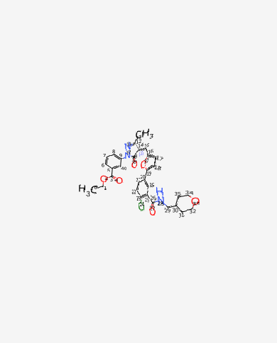 CCOC(=O)c1cccc(N2N=C(C)/C(=C/c3ccc(-c4ccc(Cl)c(C(=O)NCC5CCOCC5)c4)o3)C2=O)c1